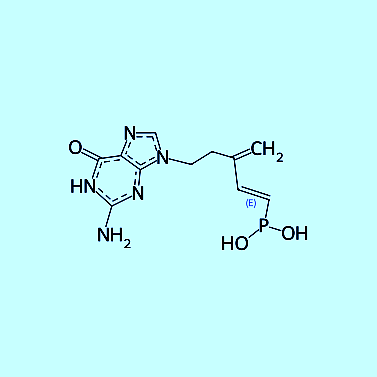 C=C(/C=C/P(O)O)CCn1cnc2c(=O)[nH]c(N)nc21